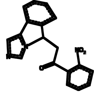 O=C(CC1c2ccccc2-c2cncn21)c1ccccc1[N+](=O)[O-]